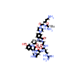 CC[C@H](C)[C@H](N)C(=O)N[C@@H](CCCCN)C(=O)N1CCN(c2ccc3ncn(CC(=O)N[C@@H](CCCNC(=N)N)C(=O)N[C@@H](Cc4c[nH]cn4)C(=O)N[C@@H](Cc4ccc(O)cc4)C(=O)N[C@@H](CC(C)C)C(=O)NC)c(=O)c3c2)CC1